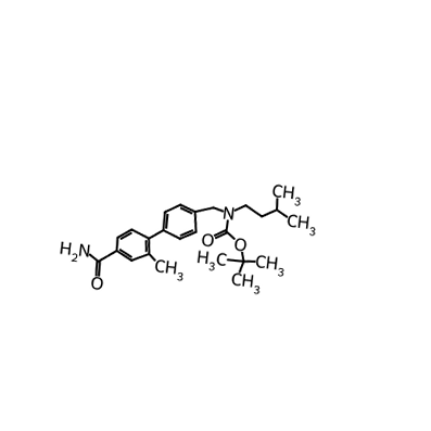 Cc1cc(C(N)=O)ccc1-c1ccc(CN(CCC(C)C)C(=O)OC(C)(C)C)cc1